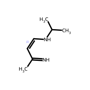 CC(=N)/C=C\NC(C)C